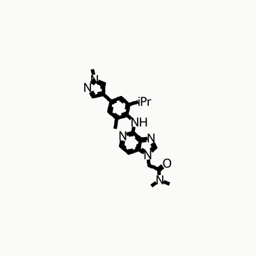 Cc1cc(-c2cnn(C)c2)cc(C(C)C)c1Nc1nccc2c1ncn2CC(=O)N(C)C